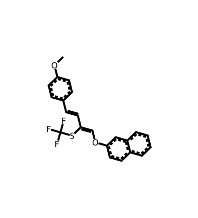 COc1ccc(C=CC(=COc2ccc3ccccc3c2)SC(F)(F)F)cc1